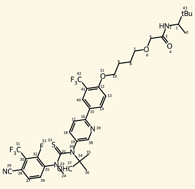 CC(NC(=O)COCCCCOc1ccc(-c2ccc(N(C(=S)N(C)c3ccc(C#N)c(C(F)(F)F)c3F)C(C)(C)C=O)cn2)cc1C(F)(F)F)C(C)(C)C